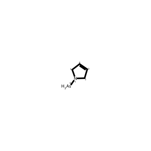 [AsH2]N1CC=CC1